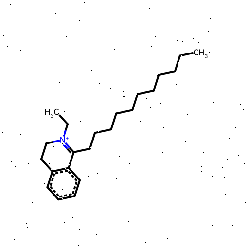 CCCCCCCCCCCC1=[N+](CC)CCc2ccccc21